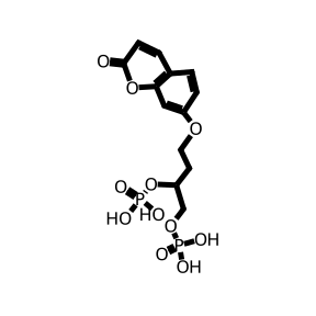 O=c1ccc2ccc(OCCC(COP(=O)(O)O)OP(=O)(O)O)cc2o1